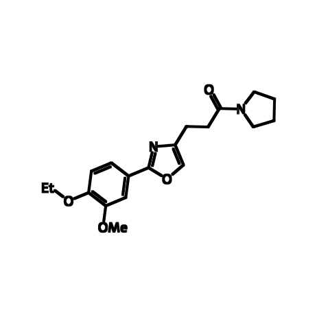 CCOc1ccc(-c2nc(CCC(=O)N3CCCC3)co2)cc1OC